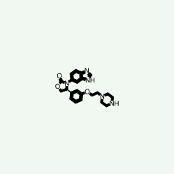 O=C1OC[C@H](c2cccc(OCCN3CCNCC3)c2)N1c1ccc2nc[nH]c2c1